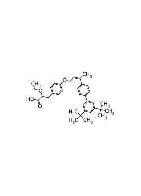 CCOC(Cc1ccc(OCC=C(C)c2ccc(-c3cc(C(C)(C)C)cc(C(C)(C)C)c3)cc2)cc1)C(=O)O